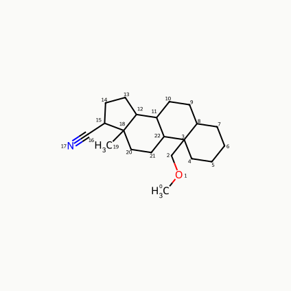 COCC12CCCCC1CCC1C3CCC(C#N)C3(C)CCC12